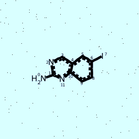 Nc1n[c]c2cc(I)ccc2n1